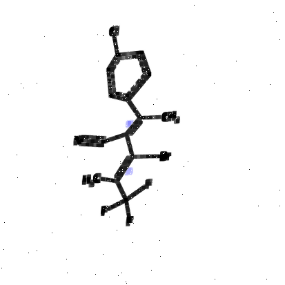 C/C(=C(Br)\C(C#N)=C(/C)c1ccc(Cl)cc1)C(F)(F)F